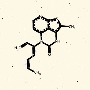 C=C/C(=C\C=C/C)N1C(=O)Nc2c(C)sc3nccc1c23